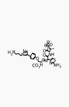 C[C@H]1[C@H](NC(=O)/C(=N\O[C@@H](COc2ccc(-c3cn(CCCN)[n+](C)c3)cc2)C(=O)O)c2csc(N)n2)C(=O)N1S(=O)(=O)[O-]